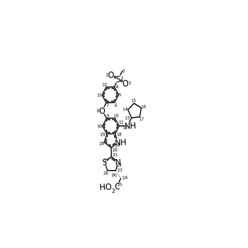 CS(=O)(=O)c1ccc(Oc2cc(NC3CCCC3)c3[nH]c(C4=N[C@H](CC(=O)O)CS4)cc3c2)cc1